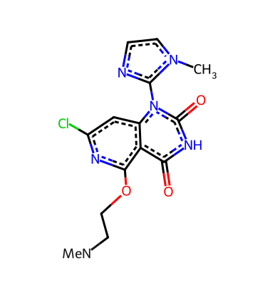 CNCCOc1nc(Cl)cc2c1c(=O)[nH]c(=O)n2-c1nccn1C